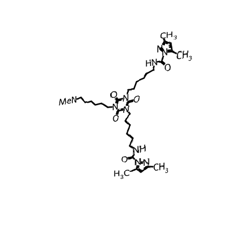 CNCCCCCCn1c(=O)n(CCCCCCNC(=O)n2nc(C)cc2C)c(=O)n(CCCCCCNC(=O)n2nc(C)cc2C)c1=O